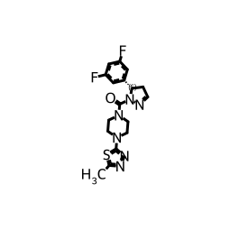 Cc1nnc(N2CCN(C(=O)N3N=CC[C@H]3c3cc(F)cc(F)c3)CC2)s1